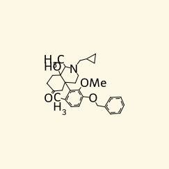 COc1c(OCc2ccccc2)ccc(C)c1C12CCN(CC3CC3)C(C)C1(O)CCC(=O)C2